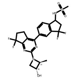 C[C@H]1[C@H](O)CN1c1nc(-c2ccc3c(c2)C(F)(F)CC3NS(C)(=O)=O)c2c(n1)C(F)(F)CC2